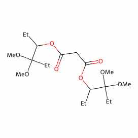 CCC(OC(=O)CC(=O)OC(CC)C(CC)(OC)OC)C(CC)(OC)OC